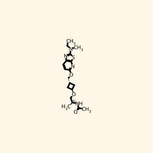 CCN(C)c1nc2ccc(OC[C@H]3C[C@H](OC[C@H](C)NC(C)=O)C3)nc2s1